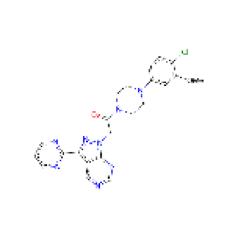 COc1cc(N2CCN(C(=O)Cn3nc(-c4ncccn4)c4cncnc43)CC2)ccc1Cl